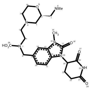 CNC[C@@H]1CN(CCN(Cc2ccc3c(c2)n(C)c(=O)n3C2CCC(=O)NC2=O)C(=O)O)CCO1